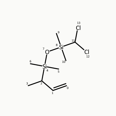 C=CC(C)[Si](C)(C)O[Si](C)(C)C(Cl)Cl